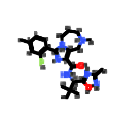 Cc1ccc(-c2nc(C(=O)N[C@H](c3nc(C)no3)C(C)(C)C)c3n2CCCN(C)C3)c(F)c1